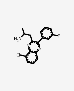 CC(N)Cc1nc2c(Cl)cccc2nc1-c1cccc(F)c1